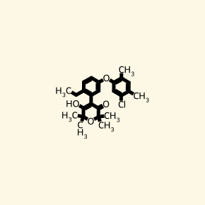 CCc1ccc(Oc2cc(Cl)c(C)cc2C)cc1C1=C(O)C(C)(C)OC(C)(C)C1=O